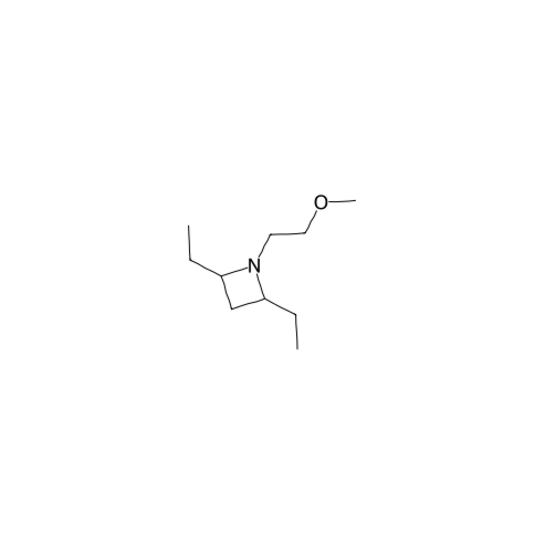 CCC1CC(CC)N1CCOC